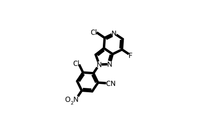 N#Cc1cc([N+](=O)[O-])cc(Cl)c1-n1cc2c(Cl)ncc(F)c2n1